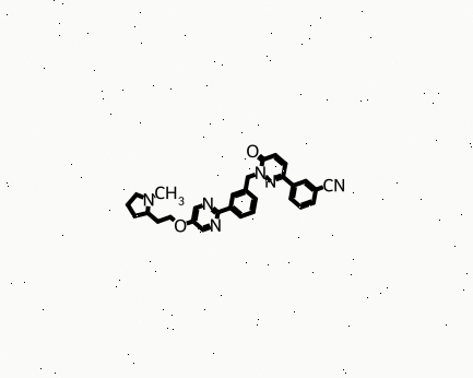 CN1CCCC1CCOc1cnc(-c2cccc(Cn3nc(-c4cccc(C#N)c4)ccc3=O)c2)nc1